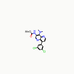 COC(=O)Nc1cnc2c(-c3cc(Cl)cc(Cl)c3)ccnc2c1N(C)C